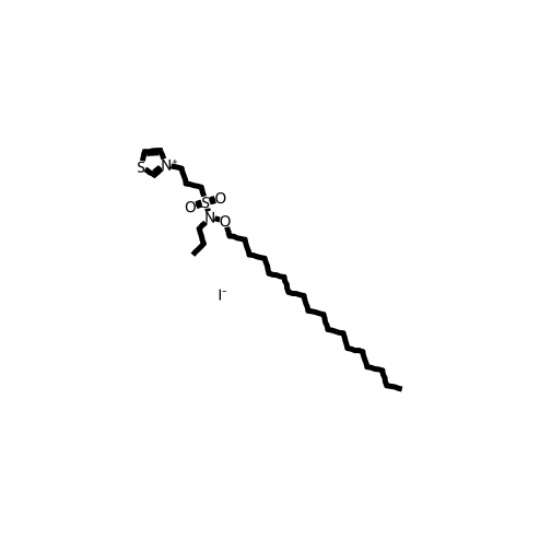 CCCCCCCCCCCCCCCCCCON(CCC)S(=O)(=O)CCC[n+]1ccsc1.[I-]